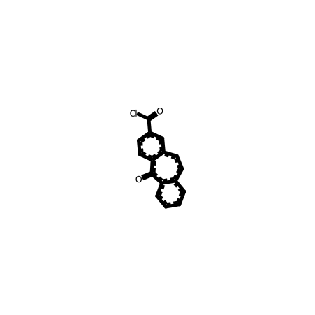 O=C(Cl)c1ccc2c(=O)c3ccccc3ccc2c1